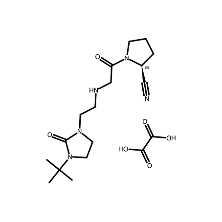 CC(C)(C)N1CCN(CCNCC(=O)N2CCC[C@H]2C#N)C1=O.O=C(O)C(=O)O